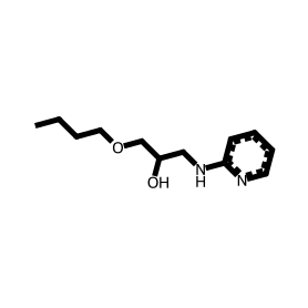 CCCCOCC(O)CNc1ccccn1